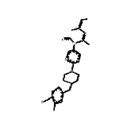 C/C=C(C)\N=C(\C)N(C=O)c1ccc(N2CCC(Cc3ccc(Cl)c(F)c3)CC2)nc1